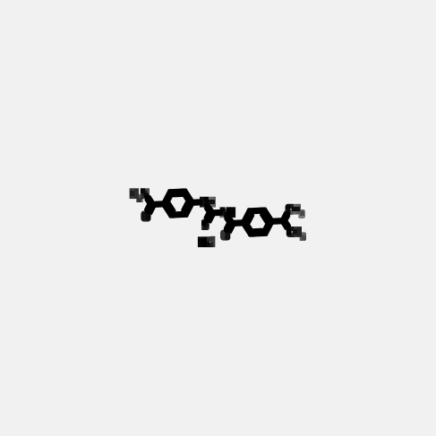 CC(C)c1ccc(C(=O)NC(=S)Nc2ccc(C(N)=O)cc2)cc1.Cl